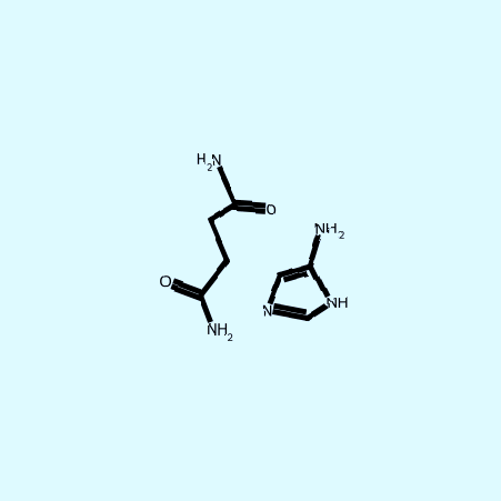 NC(=O)CCC(N)=O.Nc1cnc[nH]1